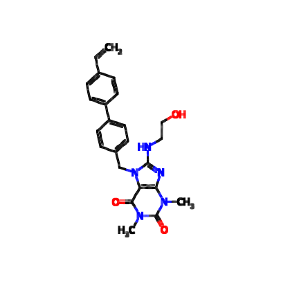 C=Cc1ccc(-c2ccc(Cn3c(NCCO)nc4c3c(=O)n(C)c(=O)n4C)cc2)cc1